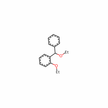 CCOc1ccccc1C(OCC)c1ccccc1